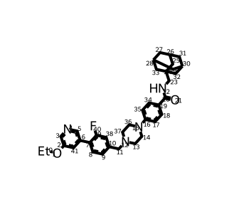 CCOc1cncc(-c2ccc(CN3CCN(c4ccc(C(=O)NCC56CC7CC(CC(C7)C5)C6)cc4)CC3)cc2F)c1